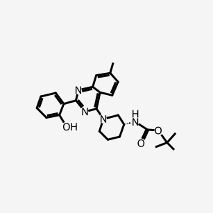 Cc1ccc2c(N3CCC[C@@H](NC(=O)OC(C)(C)C)C3)nc(-c3ccccc3O)nc2c1